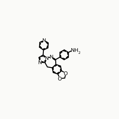 Nc1ccc(C2=Nn3c(-c4ccncc4)cnc3Cc3cc4c(cc32)OCO4)cc1